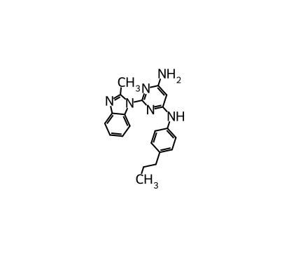 CCCc1ccc(Nc2cc(N)nc(-n3c(C)nc4ccccc43)n2)cc1